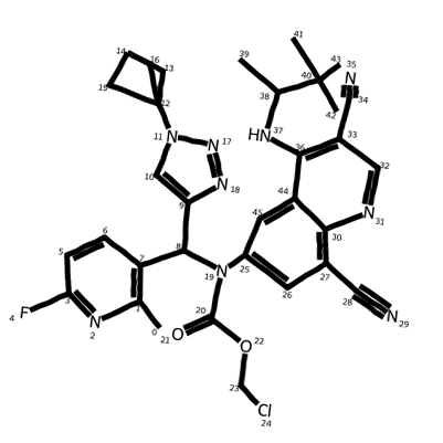 Cc1nc(F)ccc1C(c1cn(C23CC(C2)C3)nn1)N(C(=O)OCCl)c1cc(C#N)c2ncc(C#N)c(NC(C)C(C)(C)C)c2c1